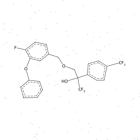 OC(COCc1ccc(F)c(Oc2ccccc2)c1)(c1ccc(C(F)(F)F)cc1)C(F)(F)F